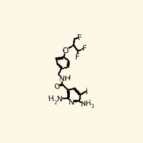 Nc1nc(N)c(C(=O)NCc2ccc(OC(CF)C(F)F)cc2)cc1I